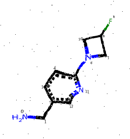 NCc1ccc(N2CC(F)C2)nc1